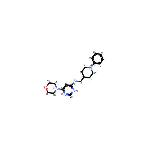 c1ccc(N2CCC(CNc3cc(N4CCOCC4)ncn3)CC2)cc1